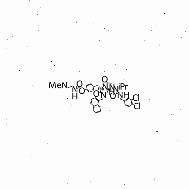 CNCCNC(=O)Oc1ccc(C[C@H]2C(=O)N(Cc3cccc4ccccc34)C[C@H]3N2C(=O)CN3N(C(=O)NCc2ccc(Cl)c(Cl)c2)C(C)C)cc1